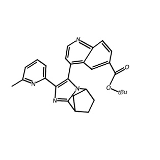 Cc1cccc(-c2nc3n(c2-c2ccnc4ccc(C(=O)OC(C)(C)C)cc24)C2CCC3C2)n1